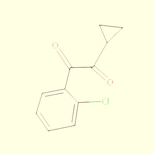 O=C(C(=O)C1CC1)c1ccccc1Cl